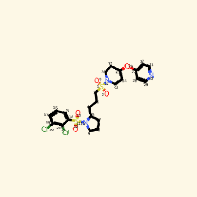 O=S(=O)(CCCC1CCCN1S(=O)(=O)c1cccc(Cl)c1Cl)N1CCC(Oc2ccncc2)CC1